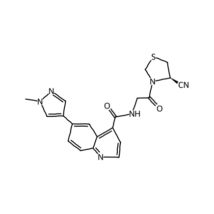 Cn1cc(-c2ccc3nccc(C(=O)NCC(=O)N4CSC[C@H]4C#N)c3c2)cn1